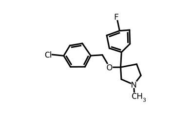 CN1CCC(OCc2ccc(Cl)cc2)(c2ccc(F)cc2)C1